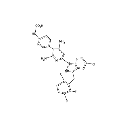 Nc1nc(-n2nc(Cc3c(F)ccc(F)c3F)c3cc(Cl)ccc32)nc(N)c1-c1ccc(NC(=O)O)nc1